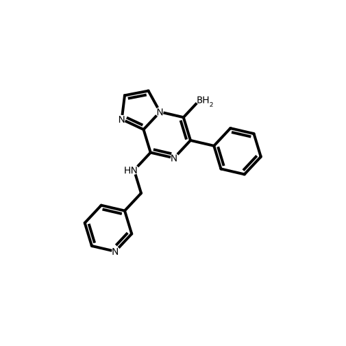 Bc1c(-c2ccccc2)nc(NCc2cccnc2)c2nccn12